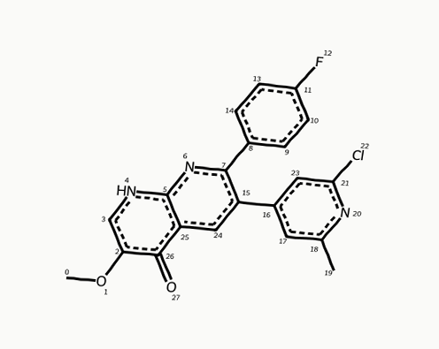 COc1c[nH]c2nc(-c3ccc(F)cc3)c(-c3cc(C)nc(Cl)c3)cc2c1=O